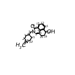 CN1CCC(Cn2cc3c4c(cccc4c2=O)C(O)CC3)CC1